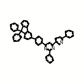 c1ccc(-c2ccc(-c3cc(-c4ccc(-c5ccc6c(c5)-c5ccccc5C6(c5ccccc5)c5ccccc5)cc4)nc(-c4ccccc4)n3)cn2)cc1